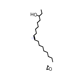 C1CO1.CCCCCCCC/C=C\CCCCCC(O)CC